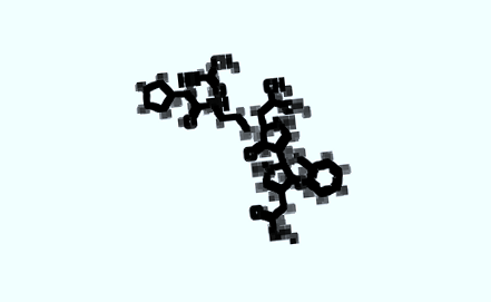 CC(=O)N[C@H](C(=O)NCCC[C@]1(CC(C)C)NC=C([C@]2(Cc3ccccc3)NC=C(CC(N)=O)C2=O)C1=O)C1CCCC1